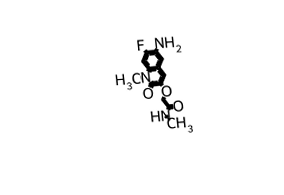 CNC(=O)COc1cc2cc(N)c(F)cc2n(C)c1=O